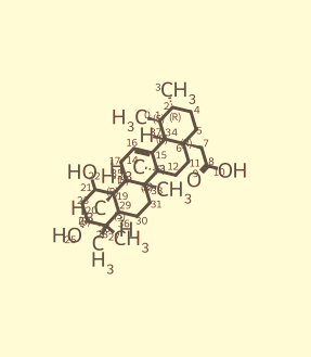 C[C@H]1[C@H](C)CC[C@]2(CC(=O)O)CC[C@]3(C)C(=CC[C@@H]4[C@@]5(C)C(O)C[C@@H](O)C(C)(C)[C@@H]5CC[C@]43C)[C@H]12